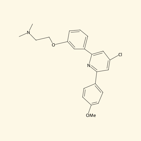 COc1ccc(-c2cc(Cl)cc(-c3cccc(OCCN(C)C)c3)n2)cc1